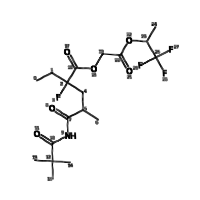 CCC(F)(CC(C)C(=O)NC(=O)C(C)(C)C)C(=O)OCC(=O)OC(C)C(F)(F)F